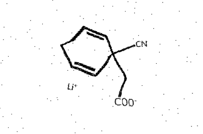 N#CC1(CC(=O)[O-])C=CCC=C1.[Li+]